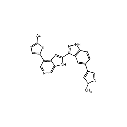 CC(=O)c1ccc(-c2cncc3[nH]c(-c4n[nH]c5ccc(-c6cnn(C)c6)cc45)cc23)s1